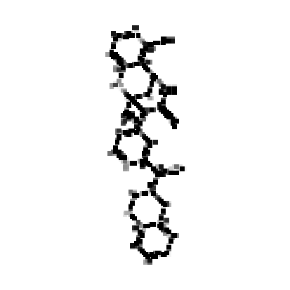 CC12CC(NC(=O)N1c1cccc(C(=O)N3CCc4ccccc4C3)c1)c1c(F)cccc1O2